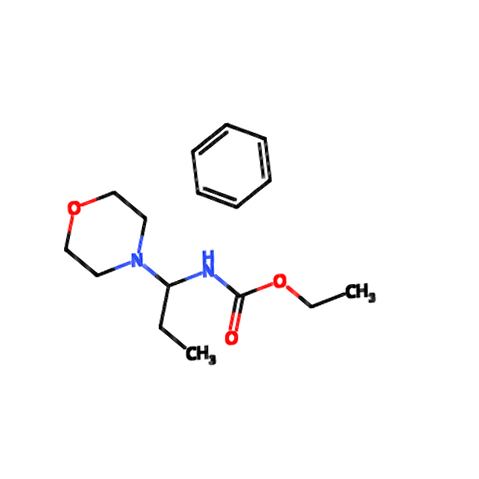 CCOC(=O)NC(CC)N1CCOCC1.c1ccccc1